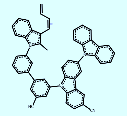 C=C/C=C\c1c(C)n(-c2cccc(-c3cc(C#N)cc(-n4c5ccc(C#N)cc5c5cc(-n6c7ccccc7c7ccccc76)ccc54)c3)c2)c2ccccc12